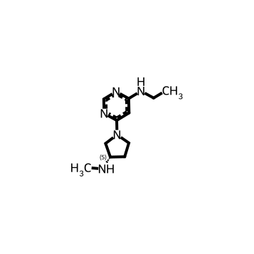 CCNc1cc(N2CC[C@H](NC)C2)ncn1